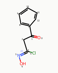 O=C(C/C(Cl)=N/O)c1ccccc1